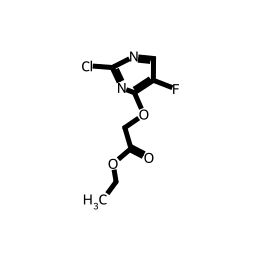 CCOC(=O)COc1nc(Cl)ncc1F